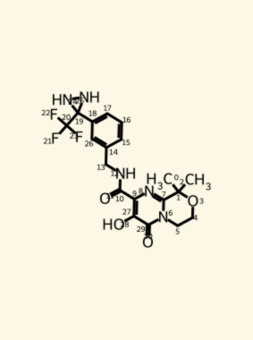 CC1(C)OCCn2c1nc(C(=O)NCc1cccc(C3(C(F)(F)F)NN3)c1)c(O)c2=O